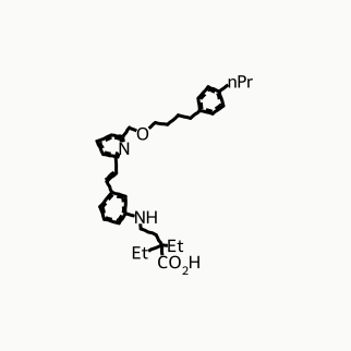 CCCc1ccc(CCCCOCc2cccc(C=Cc3cccc(NCCC(CC)(CC)C(=O)O)c3)n2)cc1